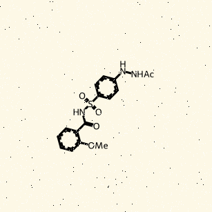 COc1ccccc1C(=O)NS(=O)(=O)c1ccc(NNC(C)=O)cc1